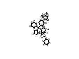 O=C(OCc1ccccc1)N1CC=C[C@H]1C(c1ccccc1)(c1ccccc1)c1ccc(S(=O)(=O)C(F)(F)F)cc1